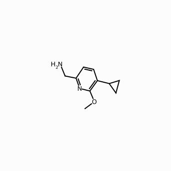 COc1nc(CN)ccc1C1CC1